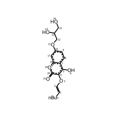 CCCCC=COc1c(O)c2ccc(OCC(O)CO)cc2oc1=O